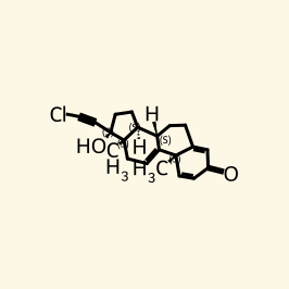 C[C@]12C=CC(=O)C=C1CC[C@@H]1C2=CC[C@@]2(C)[C@H]1CC[C@@]2(O)C#CCl